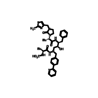 CC[C@H](C)[C@H](NC(=O)O)C(=O)NN(Cc1ccc(-c2ccccn2)cc1)C[C@H](O)[C@H](Cc1ccccc1)NC(=O)[C@H]([C@@H](C)CC)N1CCN(Cc2csc(C)n2)C1=O